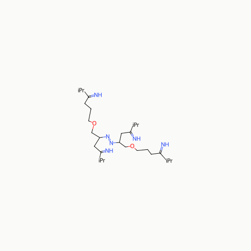 CC(C)C(=N)CCCOCC(CC(=N)C(C)C)N=NC(COCCCC(=N)C(C)C)CC(=N)C(C)C